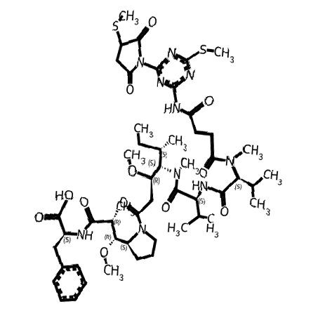 CC[C@H](C)[C@@H]([C@@H](CC(=O)N1CCC[C@H]1[C@H](OC)[C@@H](C)C(=O)N[C@@H](Cc1ccccc1)C(=O)O)OC)N(C)C(=O)[C@@H](NC(=O)[C@H](C(C)C)N(C)C(=O)CCC(=O)Nc1nc(SC)nc(N2C(=O)CC(SC)C2=O)n1)C(C)C